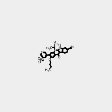 CCCCOc1cc2c(=O)c3c4ccc(C#N)cc4[nH]c3n(C(C)C)c2cc1-c1cncc(S(=O)(=O)F)c1